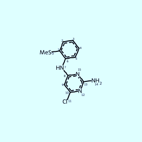 CSc1ccccc1Nc1cc(Cl)nc(N)n1